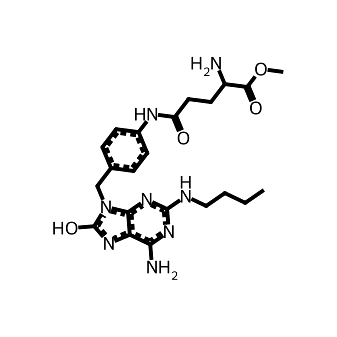 CCCCNc1nc(N)c2nc(O)n(Cc3ccc(NC(=O)CCC(N)C(=O)OC)cc3)c2n1